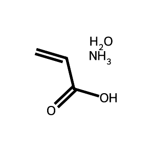 C=CC(=O)O.N.O